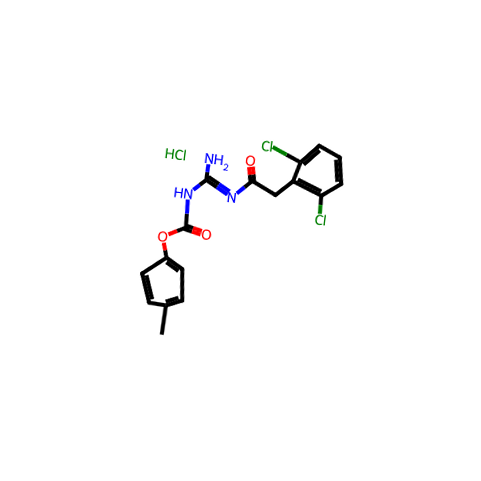 Cc1ccc(OC(=O)NC(N)=NC(=O)Cc2c(Cl)cccc2Cl)cc1.Cl